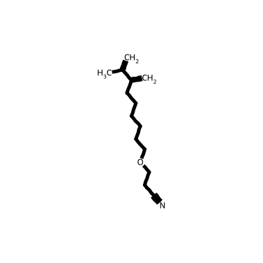 C=C(C)C(=C)CCCCCCOCCC#N